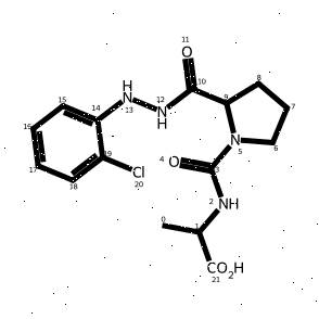 CC(NC(=O)N1CCCC1C(=O)NNc1ccccc1Cl)C(=O)O